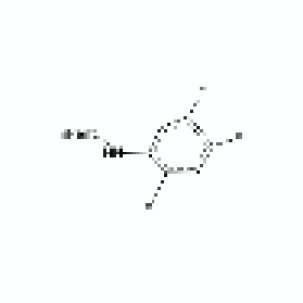 [CH2]CCCCNc1cc(F)c(F)cc1F